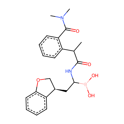 CC(C(=O)NC(C[C@@H]1COc2ccccc21)B(O)O)c1ccccc1C(=O)N(C)C